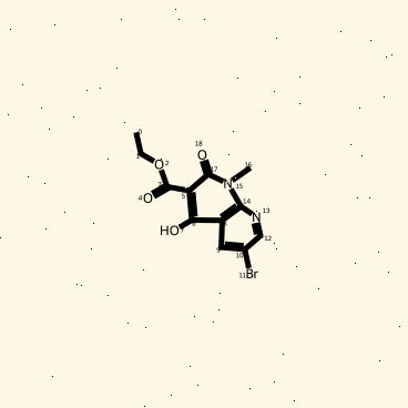 CCOC(=O)c1c(O)c2cc(Br)cnc2n(C)c1=O